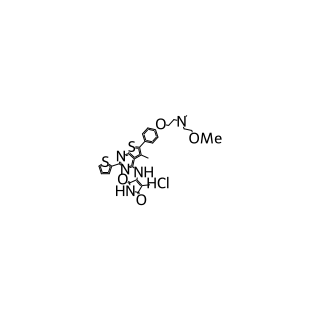 COCCN(C)CCOc1ccc(-c2sc3nc(-c4cccs4)nc(NC4=C(C)C(=O)NC4=O)c3c2C)cc1.Cl